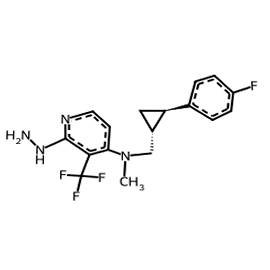 CN(C[C@@H]1C[C@H]1c1ccc(F)cc1)c1ccnc(NN)c1C(F)(F)F